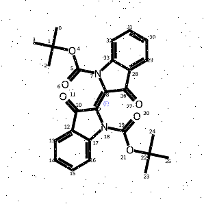 CC(C)(C)OC(=O)N1/C(=C2\C(=O)c3ccccc3N2C(=O)OC(C)(C)C)C(=O)c2ccccc21